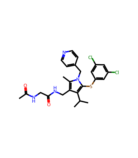 CC(=O)NCC(=O)NCc1c(C(C)C)c(Sc2cc(Cl)cc(Cl)c2)n(Cc2ccncc2)c1C